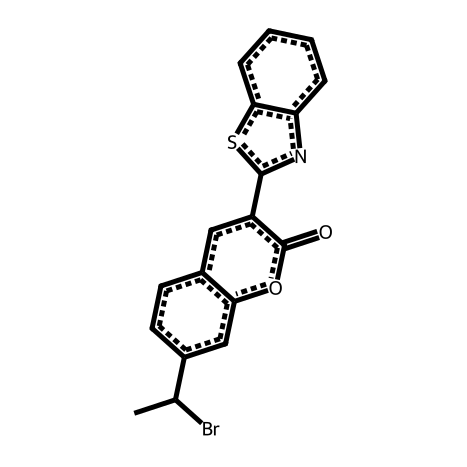 CC(Br)c1ccc2cc(-c3nc4ccccc4s3)c(=O)oc2c1